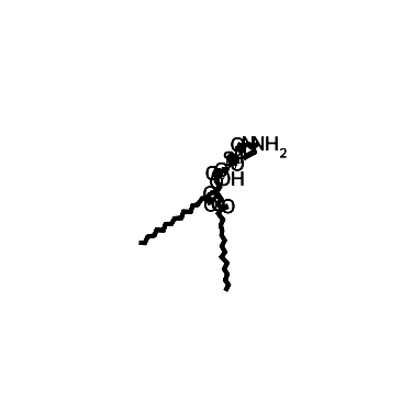 CCCCCCCCCCCCCCCC(=O)OCC(COP(=O)(O)OC[C@@H]1O[C@H](n2ccc(N)nc2=O)CS1)OC(=O)CCCCCCCCCCCCCCC